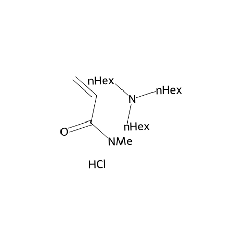 C=CC(=O)NC.CCCCCCN(CCCCCC)CCCCCC.Cl